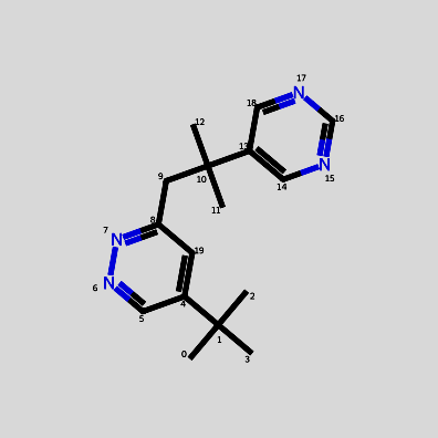 CC(C)(C)c1cnnc(CC(C)(C)c2cncnc2)c1